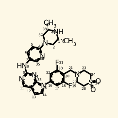 C[C@@H]1CN(c2ccc(Nc3ncc4ccn(-c5cc(F)c(CN6CCS(=O)(=O)CC6)c(F)c5)c4n3)cn2)C[C@H](C)N1